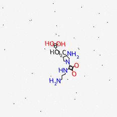 NCCCNc1c(N2C[C@H](CCCB(O)O)[C@](N)(C(=O)O)C2)c(=O)c1=O